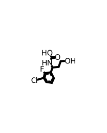 O=C(O)NC(CCO)c1cccc(Cl)c1F